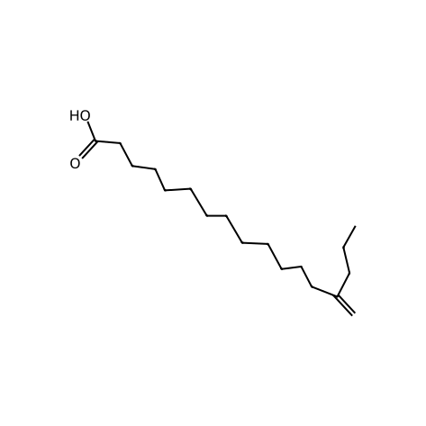 C=C(CCC)CCCCCCCCCCCCC(=O)O